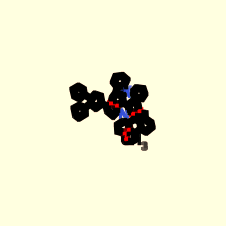 Cc1ccc(N(c2ccc(-c3ccc(-c4ccccc4)c(-c4ccccc4)c3)cc2)c2ccccc2-c2cccc3c4ccccc4n(-c4ccccc4)c23)c(-c2cccc3cccc(C4CCCCC4)c23)c1